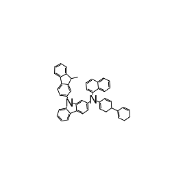 CC1c2ccccc2-c2ccc(-n3c4ccccc4c4ccc(N(C5=CCC(C6=CCCC=C6)C=C5)c5cccc6ccccc56)cc43)cc21